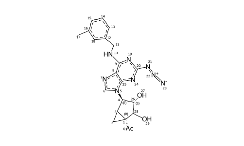 CC(=O)[C@]12CC1[C@@H](n1cnc3c(NCc4cccc(C)c4)nc(N=[N+]=[N-])nc31)[C@H](O)C2O